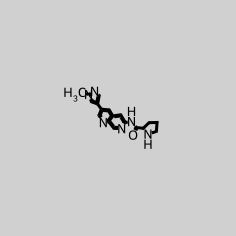 Cn1cc(-c2cnc3cnc(NC(=O)C4CCCN4)cc3c2)cn1